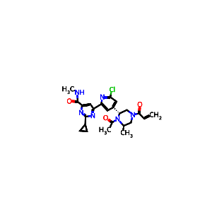 C=CC(=O)N1C[C@@H](C)N(C(C)=O)[C@H](c2cc(Cl)nc(-c3cc(C(=O)NC)nc(C4CC4)n3)c2)C1